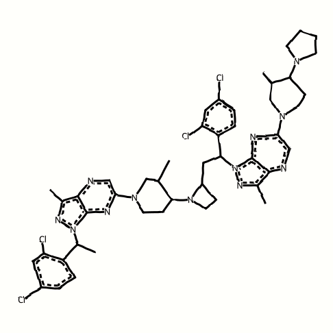 Cc1nn(C(C)c2ccc(Cl)cc2Cl)c2nc(N3CCC(N4CCC4CC(c4ccc(Cl)cc4Cl)n4nc(C)c5ncc(N6CCC(N7CCCC7)C(C)C6)nc54)C(C)C3)cnc12